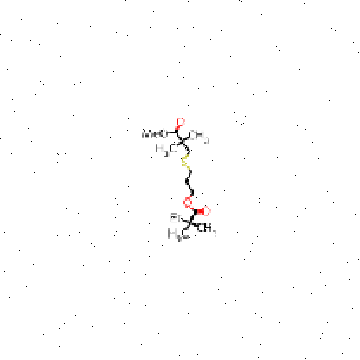 CCC(C)(C)C(=O)OCCCSCC(C)(C)C(=O)OC